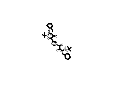 CC(C)(C)ON[C@@H](Cc1ccccc1)C(=O)C(=O)C1=CN(C(=O)C(=O)[C@H](Cc2ccccc2)NOC(C)(C)C)CO1